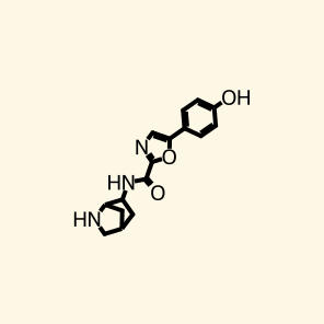 O=C(NC1CC2CNC1C2)c1ncc(-c2ccc(O)cc2)o1